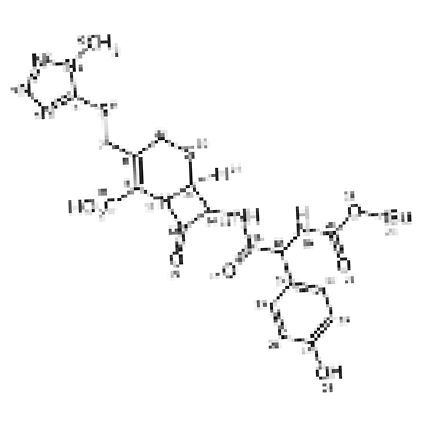 Cn1nnnc1SCC1=C(C(=O)O)N2C(=O)C(NC(=O)C(NC(=O)OC(C)(C)C)c3ccc(O)cc3)[C@@H]2SC1